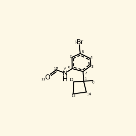 CC1(c2ccc(Br)cc2NC=O)CCC1